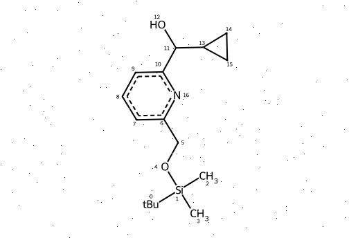 CC(C)(C)[Si](C)(C)OCc1cccc(C(O)C2CC2)n1